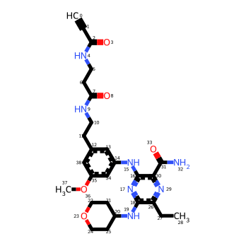 C#CC(=O)NCCC(=O)NCCc1cc(Nc2nc(NC3CCOCC3)c(CC)nc2C(N)=O)cc(OC)c1